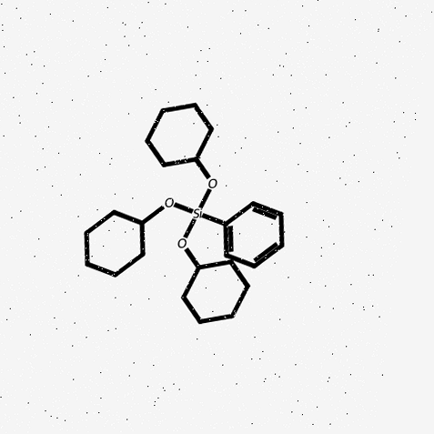 c1ccc([Si](OC2CCCCC2)(OC2CCCCC2)OC2CCCCC2)cc1